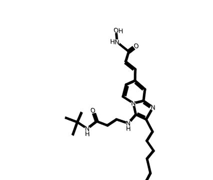 CCCCCCc1nc2cc(/C=C/C(=O)NO)ccn2c1NCCC(=O)NC(C)(C)C